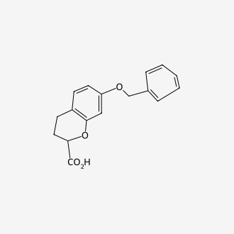 O=C(O)C1CCc2ccc(OCc3ccccc3)cc2O1